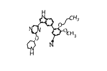 CCCOc1c(OC)cc(C#N)cc1-c1ccc2[nH]cc(-c3cncc(O[C@@H]4CCCNC4)n3)c2c1